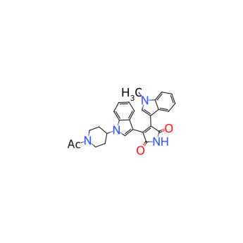 CC(=O)N1CCC(n2cc(C3=C(c4cn(C)c5ccccc45)C(=O)NC3=O)c3ccccc32)CC1